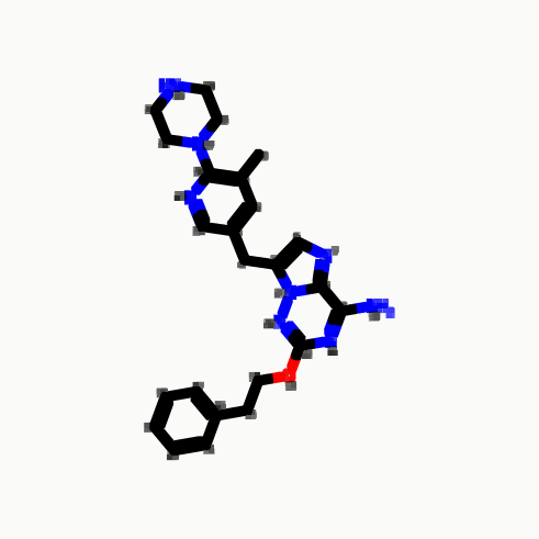 Cc1cc(Cc2cnc3c(N)nc(OCCc4ccccc4)nn23)cnc1N1CCNCC1